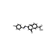 Cc1ccc(/C=C/c2cc(=O)n3cc(C(=O)O)ccc3n2)cc1